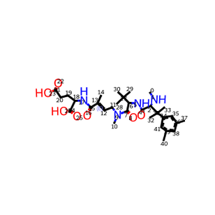 CNC(C(=O)NC(C(=O)N(C)C/C=C(\C)C(=O)NC(CCC(=O)O)C(=O)O)C(C)(C)C)C(C)(C)c1cc(C)cc(C)c1